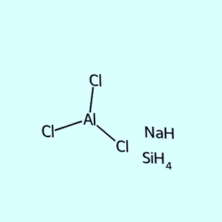 [Cl][Al]([Cl])[Cl].[NaH].[SiH4]